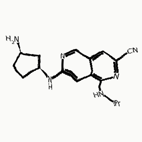 CC(C)Nc1nc(C#N)cc2cnc(N[C@H]3CC[C@@H](N)C3)cc12